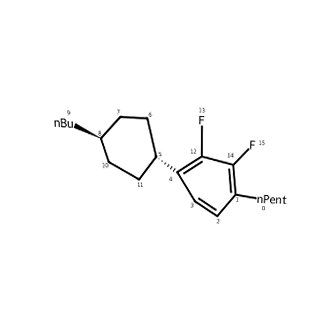 CCCCCc1ccc([C@H]2CC[C@H](CCCC)CC2)c(F)c1F